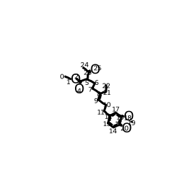 CCOC(=O)C(CC/C(=C/CCc1ccc2c(c1)OCO2)CC)C(C)=O